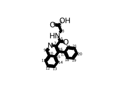 O=C(O)CNC(=O)c1ncc2ccccc2c1-c1ccccc1